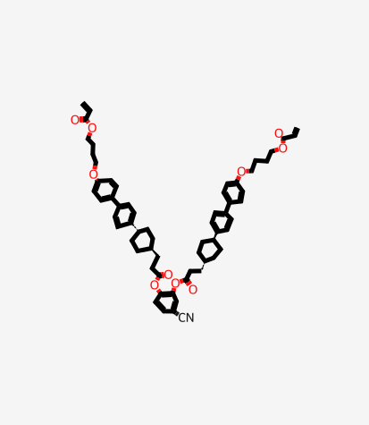 C=CC(=O)OCCCCOc1ccc(-c2ccc([C@H]3CC[C@H](CCC(=O)Oc4ccc(C#N)cc4OC(=O)CC[C@H]4CC[C@H](c5ccc(-c6ccc(OCCCCOC(=O)C=C)cc6)cc5)CC4)CC3)cc2)cc1